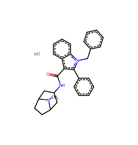 CN1C2CCC1CC(NC(=O)c1c(-c3ccccc3)n(Cc3ccccc3)c3ccccc13)C2.Cl